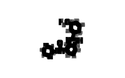 O=C(Nc1cnccn1)c1cccc2[nH]c(-c3cccc(C(F)(F)F)c3)nc12